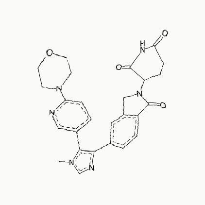 Cn1cnc(-c2ccc3c(c2)CN(C2CCC(=O)NC2=O)C3=O)c1-c1ccc(N2CCOCC2)nc1